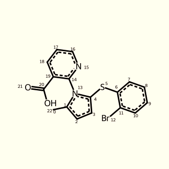 Cc1ccc(Sc2ccccc2Br)n1-c1ncccc1C(=O)O